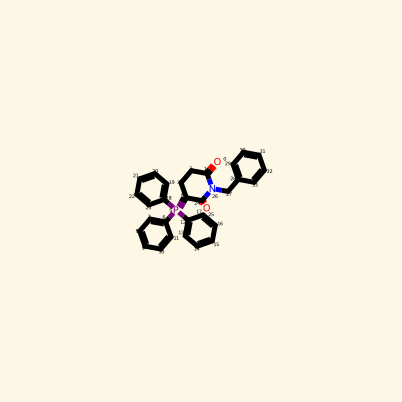 O=C1CCC(=P(c2ccccc2)(c2ccccc2)c2ccccc2)C(=O)N1Cc1ccccc1